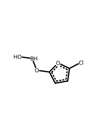 OBOc1ccc(Cl)o1